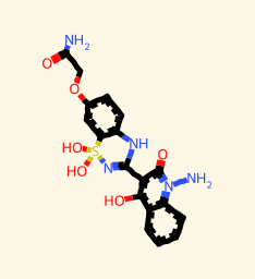 NC(=O)COc1ccc2c(c1)S(O)(O)N=C(c1c(O)c3ccccc3n(N)c1=O)N2